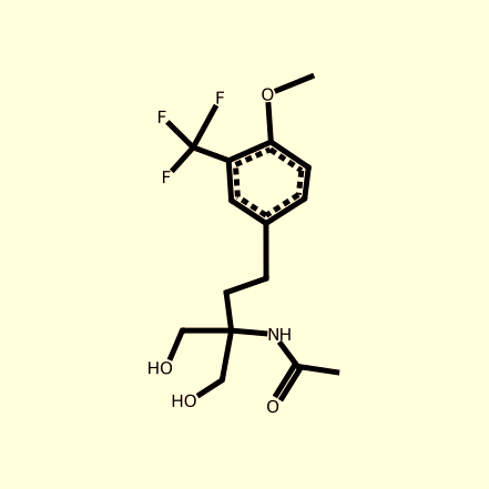 COc1ccc(CCC(CO)(CO)NC(C)=O)cc1C(F)(F)F